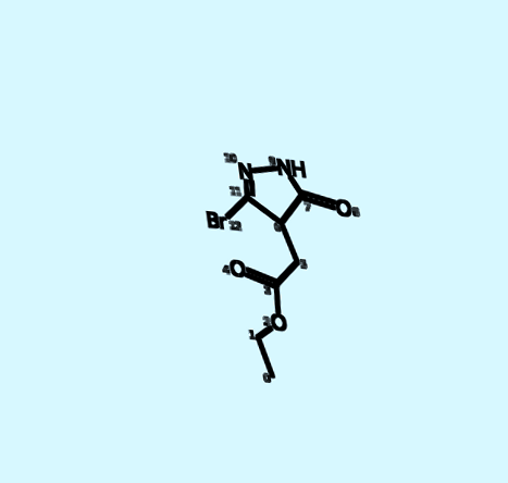 CCOC(=O)CC1C(=O)NN=C1Br